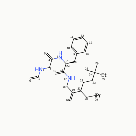 C=CNCC(=C)N[C@@H](Cc1ccccc1)C(=C)NCC(=C)C(CCC(C)(C)CC)CC(C)C